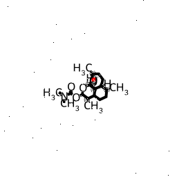 C[C@H]1C(OC(=O)N(C)C)O[C@@H]2O[C@]3(C)CC[C@H]4[C@H](C)CCC1[C@@]24OO3